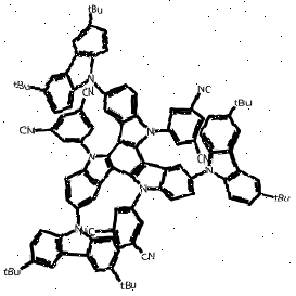 [C-]#[N+]c1cc(C#N)cc(-n2c3ccc(-n4c5ccc(C(C)(C)C)cc5c5cc(C(C)(C)C)ccc54)cc3c3c4c(c5cc(-n6c7ccc(C(C)(C)C)cc7c7cc(C(C)(C)C)ccc76)ccc5n4-c4cc(C#N)cc(C#N)c4)c4c(c5cc(-n6c7ccc(C(C)(C)C)cc7c7cc(C(C)(C)C)ccc76)ccc5n4-c4cc(C#N)cc([N+]#[C-])c4)c32)c1